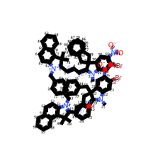 CN1/C(=C/C=C/C2=[N+](Cc3ccc(C[N+]4=C(/C=C/C=C5/N(C)c6cc(Br)c([N+](=O)[O-])cc6C5(Cc5ccccc5)Cc5ccccc5)C(C)(C)c5c4ccc4ccccc54)cc3)c3ccc4ccccc4c3C2(C)C)C(Cc2ccccc2)(Cc2ccccc2)c2cc([N+](=O)[O-])c(Br)cc21